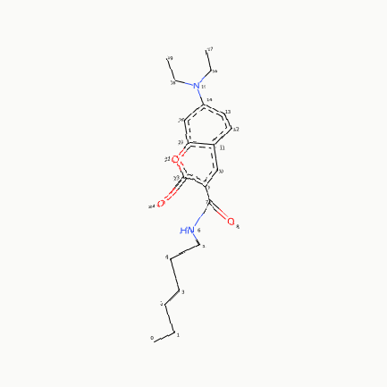 CCCCCCNC(=O)c1cc2ccc(N(CC)CC)cc2oc1=O